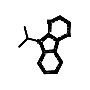 CC(C)n1c2ccccc2c2nccnc21